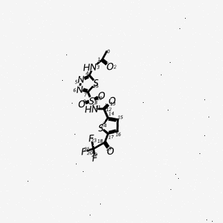 CC(=O)Nc1nnc(S(=O)(=O)NC(=O)c2ccc(C(=O)C(F)(F)F)s2)s1